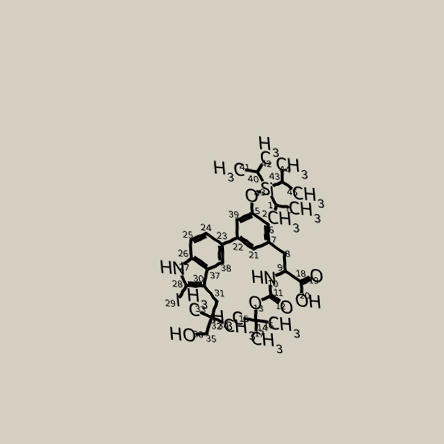 CC(C)[Si](Oc1cc(CC(NC(=O)OC(C)(C)C)C(=O)O)cc(-c2ccc3[nH]c(I)c(CC(C)(C)CO)c3c2)c1)(C(C)C)C(C)C